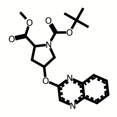 COC(=O)C1CC(Oc2cnc3ccccc3n2)CN1C(=O)OC(C)(C)C